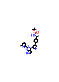 Cc1cccc(-c2nc(-c3cncc(-c4ccc(C(C)NC(=O)OC(C)(C)C)cc4)c3)c3cc[nH]c3n2)n1